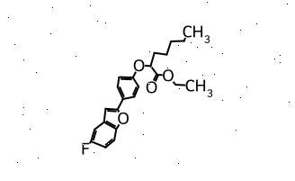 CCCCCC(Oc1ccc(-c2cc3cc(F)ccc3o2)cc1)C(=O)OCC